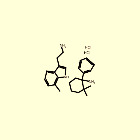 CC1(C)CCCCC1(N)c1ccccc1.Cc1cccc2c(CCN)c[nH]c12.Cl.Cl